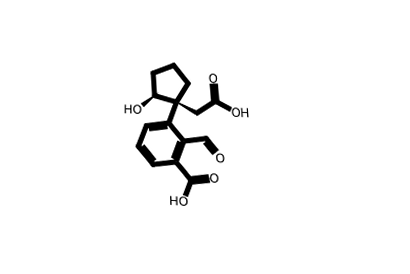 O=Cc1c(C(=O)O)cccc1[C@@]1(CC(=O)O)CCC[C@@H]1O